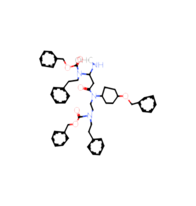 O=CNC(CC(=O)N(CCN(CCc1ccccc1)C(=O)OCc1ccccc1)C1CCC(OCc2ccccc2)CC1)N(CCc1ccccc1)C(=O)OCc1ccccc1